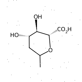 CC1C[C@H](O)[C@@H](O)[C@H](C(=O)O)O1